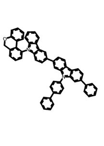 c1ccc(-c2ccc(-n3c4cc(-c5ccccc5)ccc4c4ccc(-c5ccc6c(c5)c5ccccc5n6-c5cccc6c5-c5ccccc5OC6)cc43)cc2)cc1